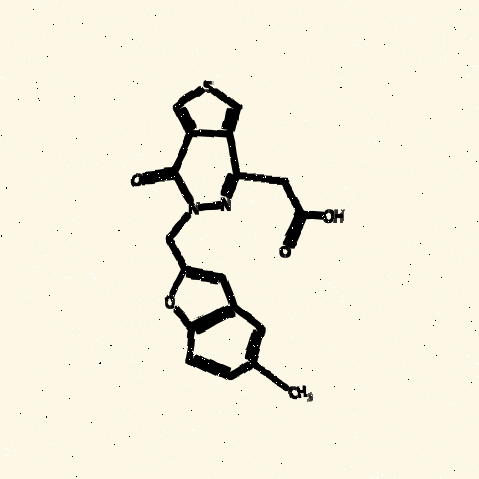 Cc1ccc2oc(Cn3nc(CC(=O)O)c4cscc4c3=O)cc2c1